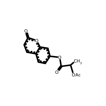 CC(=O)OC(C)C(=O)Oc1ccc2ccc(=O)oc2c1